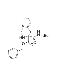 CC(C)(C)NC(=O)C1(C(=O)OCc2ccccc2)Cc2ccccc2CN1